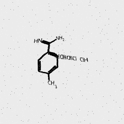 Cc1ccc(C(=N)N)cc1.Cl.Cl.Cl.Cl